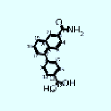 NC(=O)c1ccc2c(-c3ccc(C(O)O)cc3)cccc2c1